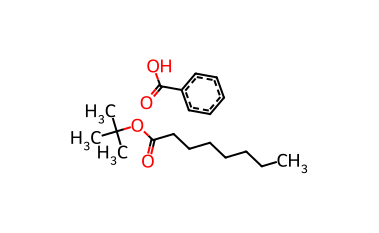 CCCCCCCC(=O)OC(C)(C)C.O=C(O)c1ccccc1